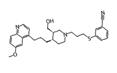 COc1ccc2nccc(CCC[C@@H]3CCN(CCCSc4cccc(C#N)c4)C[C@@H]3CO)c2c1